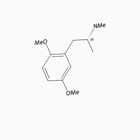 CN[C@H](C)Cc1cc(OC)ccc1OC